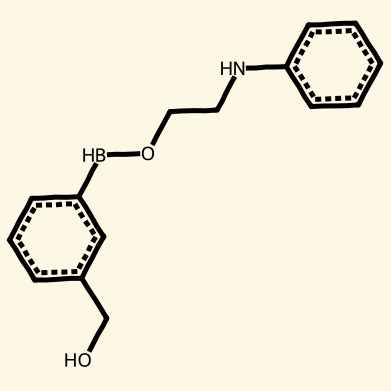 OCc1cccc(BOCCNc2ccccc2)c1